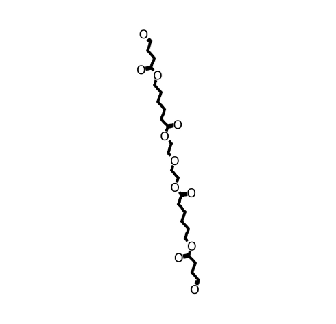 O=CCCC(=O)OCCCCCC(=O)OCCOCCOC(=O)CCCCCOC(=O)CCC=O